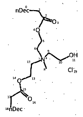 CCCCCCCCCCCC(=O)OCC[N+](C)(CCO)CCOC(=O)CCCCCCCCCCC.[Cl-]